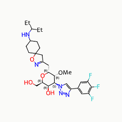 CCC(CC)NC1CCC2(CC1)CC(C[C@H]1O[C@H](CO)[C@H](O)[C@H](n3cc(-c4cc(F)c(F)c(F)c4)nn3)[C@H]1OC)=NO2